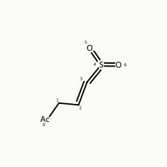 CC(=O)CC=C=S(=O)=O